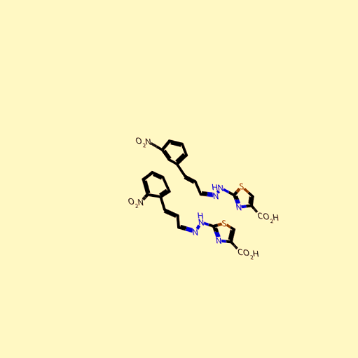 O=C(O)c1csc(N/N=C\C=C\c2cccc([N+](=O)[O-])c2)n1.O=C(O)c1csc(N/N=C\C=C\c2ccccc2[N+](=O)[O-])n1